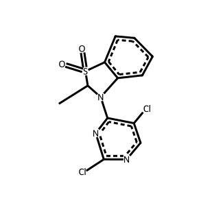 CC1N(c2nc(Cl)ncc2Cl)c2ccccc2S1(=O)=O